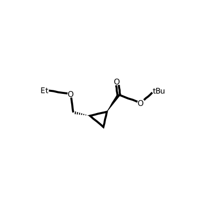 CCOC[C@H]1C[C@@H]1C(=O)OC(C)(C)C